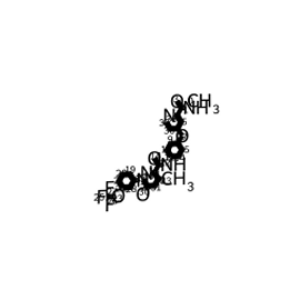 CNC(=O)c1cc(Oc2ccc(NC(=O)c3nn(-c4cccc(OC(F)(F)F)c4)c(=O)cc3C)cc2)ccn1